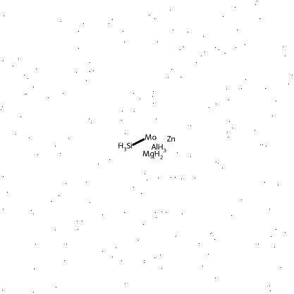 [AlH3].[MgH2].[SiH3][Mo].[Zn]